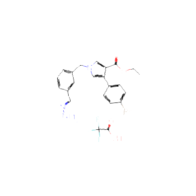 CCOC(=O)c1cn(Cc2cccc(C=NN)c2)cc1-c1ccc(Br)cc1.O=C(O)C(F)(F)F